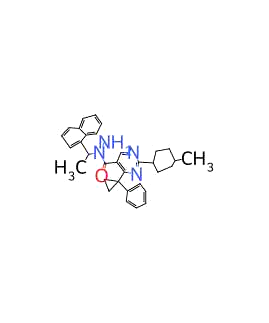 CC1CCC(c2ncc(C(=O)N(N)C(C)c3cccc4ccccc34)c(C3(c4ccccc4)CC3)n2)CC1